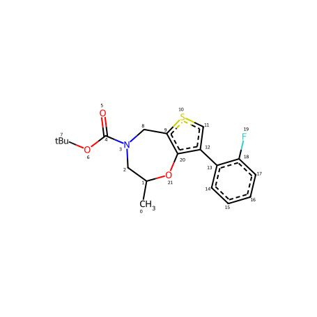 CC1CN(C(=O)OC(C)(C)C)Cc2scc(-c3ccccc3F)c2O1